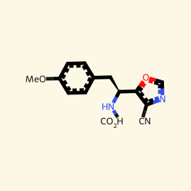 COc1ccc(C[C@H](NC(=O)O)c2ocnc2C#N)cc1